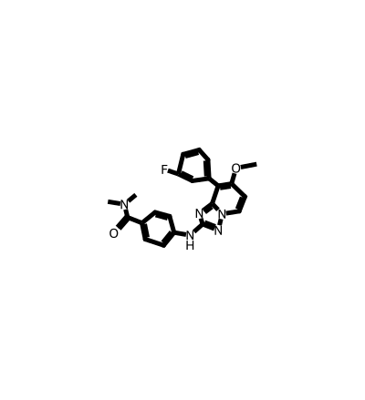 COc1ccn2nc(Nc3ccc(C(=O)N(C)C)cc3)nc2c1-c1cccc(F)c1